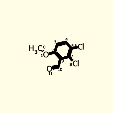 COc1ccc(Cl)c(Cl)c1C=O